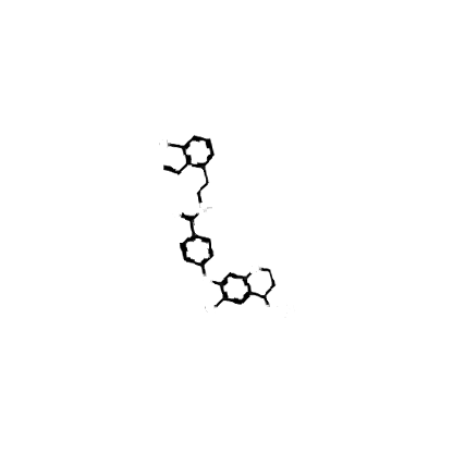 C=Cc1c(Cl)cccc1CCNC(=O)c1ccc(Oc2cc3c(cc2Cl)C(C(=O)O)CCO3)cc1